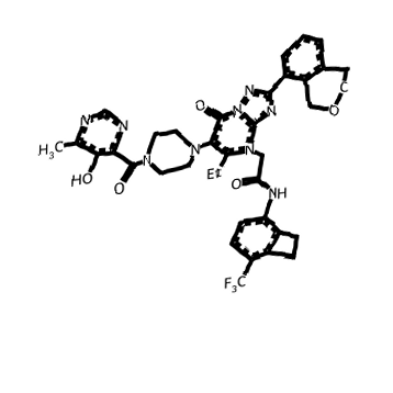 CCc1c(N2CCN(C(=O)c3ncnc(C)c3O)CC2)c(=O)n2nc(-c3cccc4c3COCC4)nc2n1CC(=O)Nc1ccc(C(F)(F)F)c2c1CC2